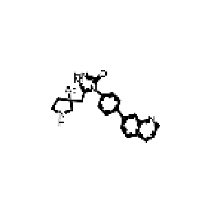 CC(=O)[C@]1(Cc2n[nH]c(=O)n2-c2ccc(-c3ccc4cccnc4c3)cc2)CCNC1